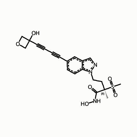 C[C@@](CCn1ncc2cc(C#CC#CC3(O)COC3)ccc21)(C(=O)NO)S(C)(=O)=O